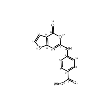 COC(=O)c1ccc(Nc2nc3sccc3c(=O)o2)cc1